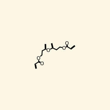 C=CC(=O)OCCC(=C)OC(=C)CCOC(=O)C=C